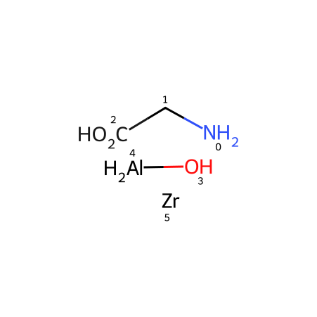 NCC(=O)O.[OH][AlH2].[Zr]